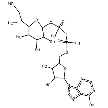 O=P(O)(OCC1OC(n2cnc3c(O)ncnc32)C(O)C1O)OP(=O)(O)OC1OC([C@H](O)CO)C(O)C(O)C1O